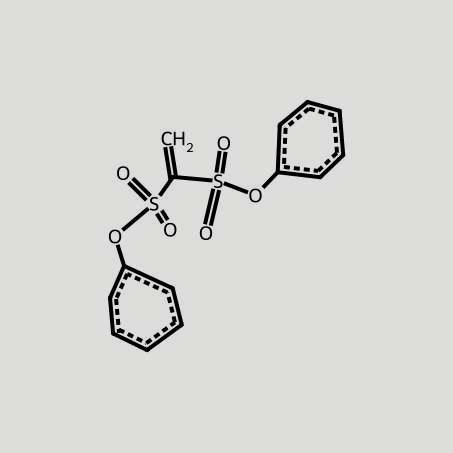 C=C(S(=O)(=O)Oc1ccccc1)S(=O)(=O)Oc1ccccc1